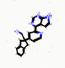 NCC1(c2ccnc(-c3ncnc4[nH]ccc34)c2)Cc2ccccc2C1